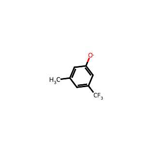 Cc1cc([O])cc(C(F)(F)F)c1